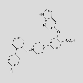 O=C(O)c1ccc(N2CCN(CC3CC=CCC3c3ccc(Cl)cc3)CC2)cc1Oc1cnc2[nH]ccc2c1